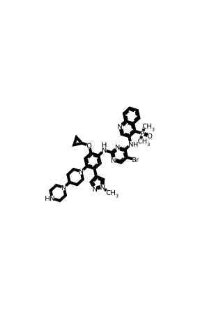 Cn1cc(-c2cc(Nc3ncc(Br)c(Nc4cnc5ccccc5c4P(C)(C)=O)n3)c(OC3CC3)cc2N2CCC(N3CCNCC3)CC2)cn1